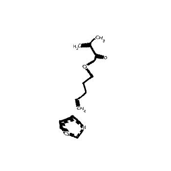 C=CCCCOC(=O)C(=C)C.c1cocn1